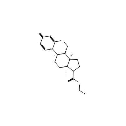 CC(C)CNC(=O)C1CC[C@H]2[C@@H]3CNC4=CC(=O)C=C[C@]4(C)[C@@H]3CC[C@]12C